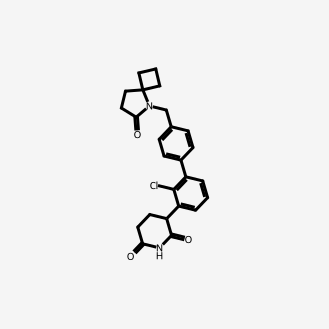 O=C1CCC(c2cccc(-c3ccc(CN4C(=O)CCC45CCC5)cc3)c2Cl)C(=O)N1